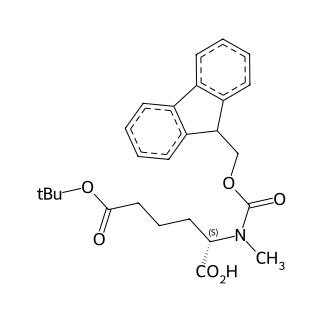 CN(C(=O)OCC1c2ccccc2-c2ccccc21)[C@@H](CCCC(=O)OC(C)(C)C)C(=O)O